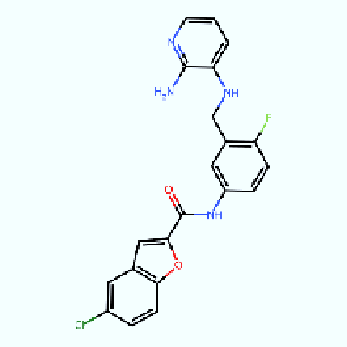 Nc1ncccc1NCc1cc(NC(=O)c2cc3cc(Cl)ccc3o2)ccc1F